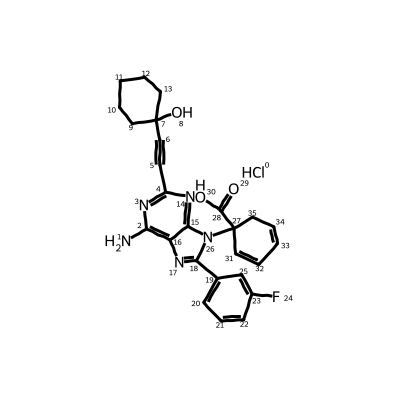 Cl.Nc1nc(C#CC2(O)CCCCC2)nc2c1nc(-c1cccc(F)c1)n2C1(C(=O)O)C=CC=CC1